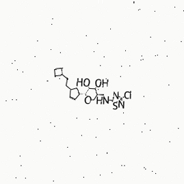 O[C@@H]1[C@@H](CNc2nc(Cl)ns2)CO[C@H](C2CCC(CCC3CCC3)C2)[C@@H]1O